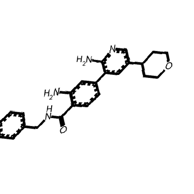 Nc1cc(-c2cc(C3CCOCC3)cnc2N)ccc1C(=O)NCc1ccccc1